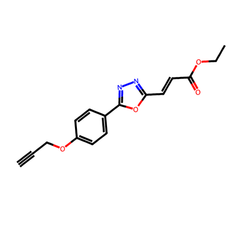 C#CCOc1ccc(-c2nnc(/C=C/C(=O)OCC)o2)cc1